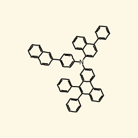 c1ccc(-c2ccc(N(c3ccc(-c4ccc5ccccc5c4)cc3)c3ccc4c(c3)c(-c3ccccc3)c(-c3ccccc3)c3ccccc34)c3ccccc23)cc1